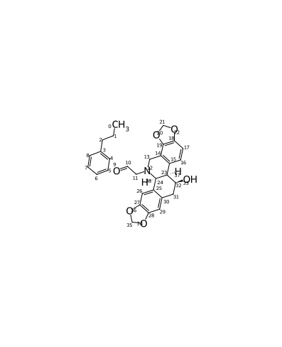 CCCc1ccccc1.O=CCN1Cc2c(ccc3c2OCO3)[C@@H]2[C@H]1c1cc3c(cc1C[C@@H]2O)OCO3